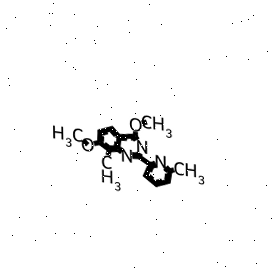 COc1ccc2c(OC)nc(-c3cccc(C)n3)nc2c1C